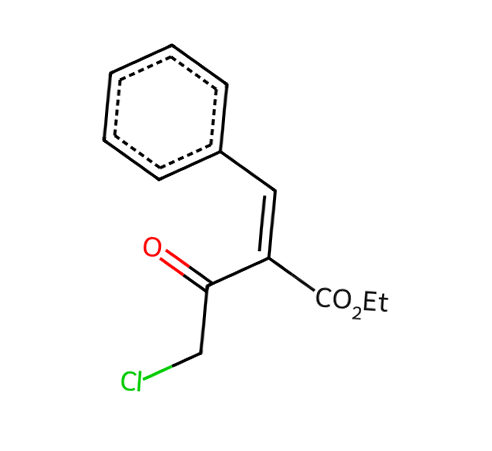 CCOC(=O)C(=Cc1ccccc1)C(=O)CCl